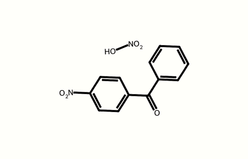 O=C(c1ccccc1)c1ccc([N+](=O)[O-])cc1.O=[N+]([O-])O